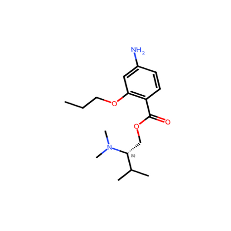 CCCOc1cc(N)ccc1C(=O)OC[C@H](C(C)C)N(C)C